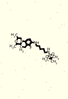 CCc1c(N2CC(C)OC(C)C2)ccc(NCCCCCNS(=O)(=O)C(C)(C)C)c1F